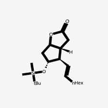 CCCCCCC=C[C@H]1[C@H](O[Si](C)(C)C(C)(C)C)CC2OC(=O)C[C@@H]21